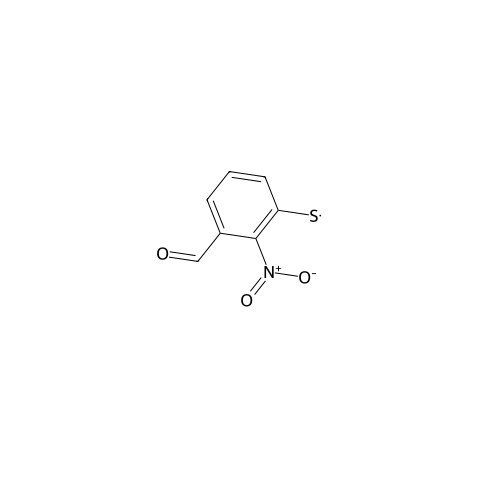 O=Cc1cccc([S])c1[N+](=O)[O-]